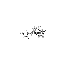 CCc1c(/C=C/c2ccc(C)cc2C)nc2n(c1=O)C1CC1(C(=O)O)C=C2